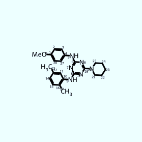 COc1ccc(Nc2nc(Nc3cc(C)ccc3C)nc(N3CCCCC3)n2)cc1